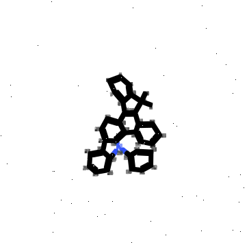 CC1(C)c2ccccc2-c2c1c1ccccc1c1c2ccc2c3ccccc3n(-c3ccccc3)c21